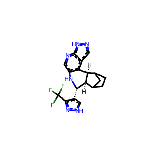 FC(F)(F)c1n[nH]cc1[C@@H]1Nc2cnc3[nH]ncc3c2[C@H]2C3CCC(C3)[C@@H]12